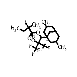 CCC(C)(I)C(=O)OC(C12CC(C)CC(CC(C)C1)C2)C(O)(C(F)(F)F)C(F)(F)F